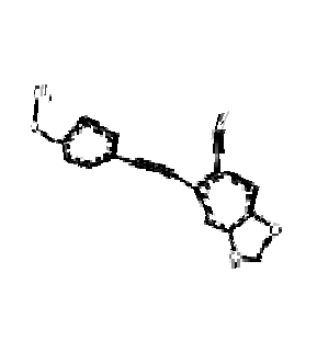 COc1ccc(C#Cc2cc3c(cc2C#N)OCO3)cc1